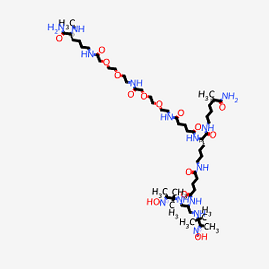 CN[C@@H](CCCCNC(=O)COCCOCCNC(=O)COCCOCCNC(=O)CCCC(=O)N[C@@H](CCCCNC(=O)CCCC(=O)NC(CNC(C)(C)/C(C)=N/O)CNC(C)(C)/C(C)=N/O)C(=O)NCCCC[C@H](C)C(N)=O)C(N)=O